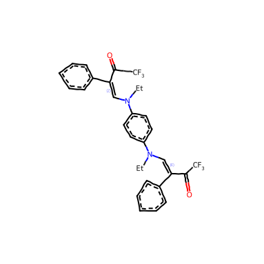 CCN(/C=C(\C(=O)C(F)(F)F)c1ccccc1)c1ccc(N(/C=C(/C(=O)C(F)(F)F)c2ccccc2)CC)cc1